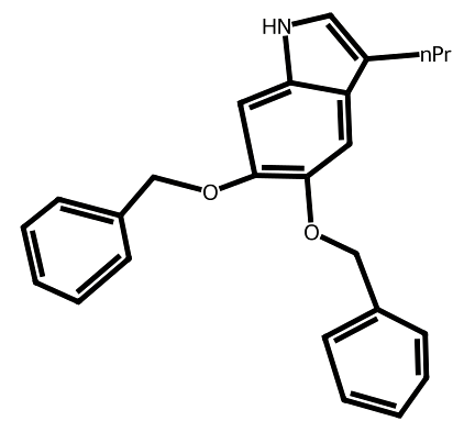 CCCc1c[nH]c2cc(OCc3ccccc3)c(OCc3ccccc3)cc12